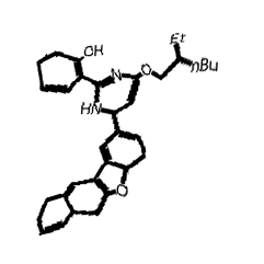 CCCCC(CC)COC1=CC(C2=CCC3OC4=C(C=C5CCC=CC5C4)C3=C2)NC(C2=C(O)CCC=C2)=N1